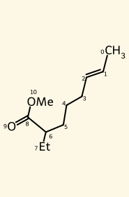 CC=CCCCC(CC)C(=O)OC